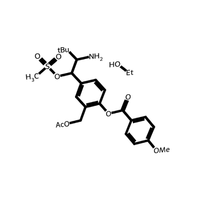 CCO.COc1ccc(C(=O)Oc2ccc(C(OS(C)(=O)=O)C(N)C(C)(C)C)cc2COC(C)=O)cc1